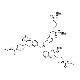 CC(C)(C)OC(=O)[C@@H](Cc1cccc(CN(Cc2cccc(C[C@H](C(=O)OC(C)(C)C)C3CCN(C(=O)OC(C)(C)C)CC3)c2)Cc2cccc(C[C@H](C(=O)OC(C)(C)C)C3CCN(C(=O)OC(C)(C)C)CC3)c2)c1)C1CCN(C(=O)OC(C)(C)C)CC1